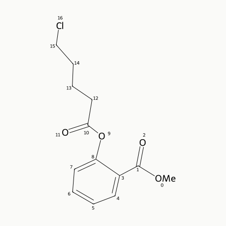 COC(=O)c1ccccc1OC(=O)CCCCCl